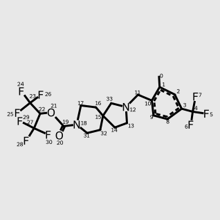 Cc1cc(C(F)(F)F)ccc1CN1CCC2(CCN(C(=O)OC(C(F)(F)F)C(F)(F)F)CC2)C1